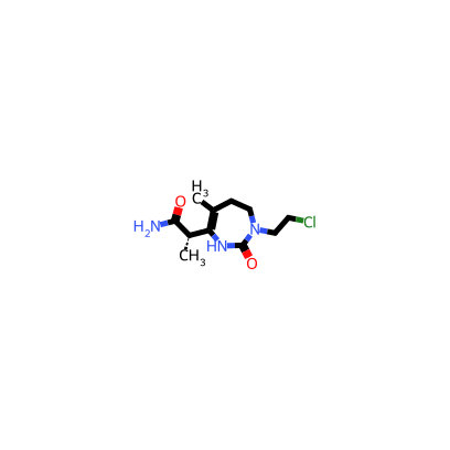 CC1=C([C@H](C)C(N)=O)NC(=O)N(CCCl)CC1